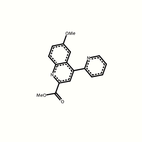 COC(=O)c1cc(-c2ccccn2)c2cc(OC)ccc2n1